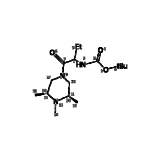 CCC(NC(=O)OC(C)(C)C)C(=O)N1C[C@@H](C)N(C)[C@@H](C)C1